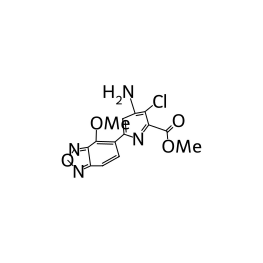 COC(=O)c1nc(-c2ccc3nonc3c2OC)cc(N)c1Cl